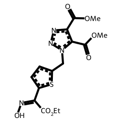 CCOC(=O)C(=NO)c1ccc(Cn2nnc(C(=O)OC)c2C(=O)OC)s1